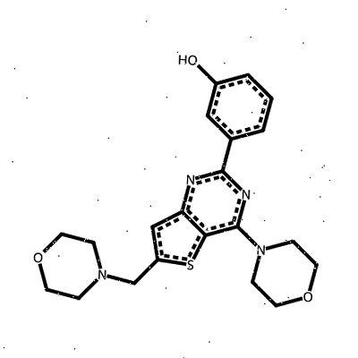 Oc1cccc(-c2nc(N3CCOCC3)c3sc(CN4CCOCC4)cc3n2)c1